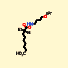 CCCOCCCCNOC(=O)C(CC)(CC)CCCCCCC(=O)O